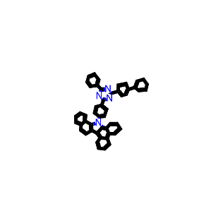 C1=CC(c2ccc(-c3nc(-c4ccccc4)nc(-c4ccc(-n5c6c7ccccc7ccc6c6c7ccccc7c7ccccc7c65)cc4)n3)cc2)=CCC1